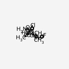 CCOC(=O)NC(=O)N(C(=O)CN)c1cc(Cl)ccc1OCC(=O)N1C[C@H](C)N(Cc2ccc(F)cc2)C[C@H]1C